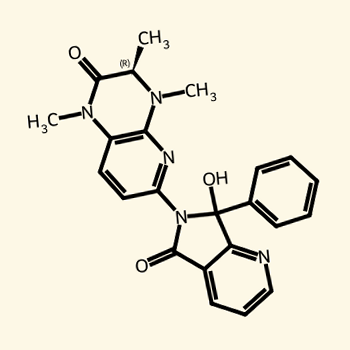 C[C@@H]1C(=O)N(C)c2ccc(N3C(=O)c4cccnc4C3(O)c3ccccc3)nc2N1C